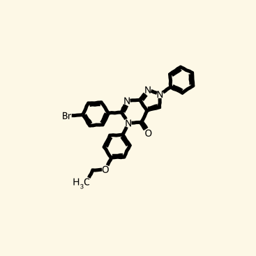 CCOc1ccc(-n2c(-c3ccc(Br)cc3)nc3nn(-c4ccccc4)cc3c2=O)cc1